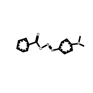 CN(C)c1ccc(N=NOC(=O)c2ccccc2)cc1